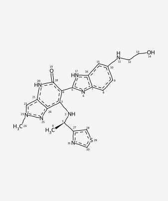 C[C@@H](Nc1c(-c2nc3ccc(NCCO)cc3[nH]2)c(=O)[nH]c2cn(C)nc12)c1cscn1